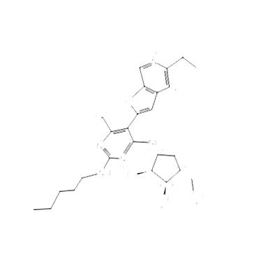 CCCCCNc1nc(Cl)c(-c2cc3cc(CC)ncc3o2)c(N[C@@H]2C[C@H](CO)[C@@H](O)[C@H]2O)n1